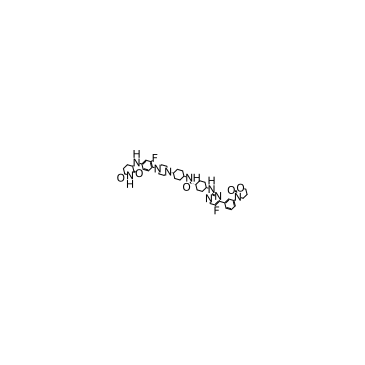 O=C1CCC(Nc2ccc(N3CCN([C@H]4CC[C@H](NC(=O)[C@H]5CC[C@H](Nc6ncc(F)c(-c7cccc(N8CCCOC8=O)c7)n6)CC5)CC4)CC3)c(F)c2)C(=O)N1